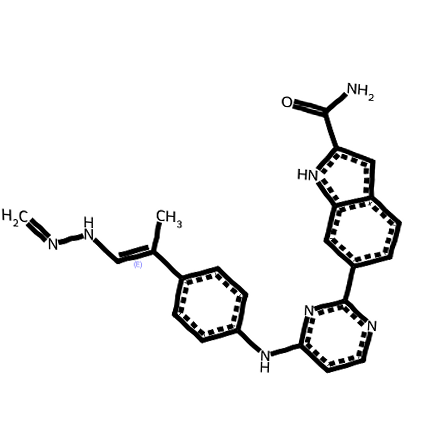 C=NN/C=C(\C)c1ccc(Nc2ccnc(-c3ccc4cc(C(N)=O)[nH]c4c3)n2)cc1